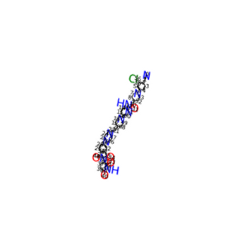 N#Cc1ccc(N2CCC(C(=O)Nc3ccc(N4CCC(CCN5CCN(c6ccc7c(c6)C(=O)N(C6CCC(=O)NC6=O)C7=O)CC5)CC4)cn3)CC2)cc1Cl